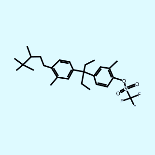 CCC(CC)(c1ccc(CCC(C)C(C)(C)C)c(C)c1)c1ccc(OS(=O)(=O)C(F)(F)F)c(C)c1